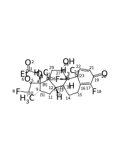 CCC(=O)O[C@]1(C(=O)CF)[C@@H](C)C[C@H]2[C@@H]3CCC4=C(F)C(=O)C=C[C@]4(C)[C@@]3(F)[C@@H](O)C[C@@]21C